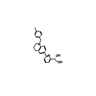 Cc1ccc(CN2CCCc3cc(-c4cccc([C@H](O)CO)n4)ccc32)cc1